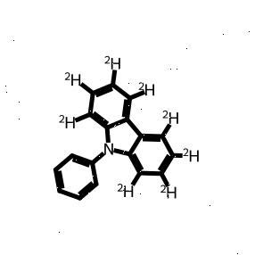 [2H]c1c([2H])c([2H])c2c(c1[2H])c1c([2H])c([2H])c([2H])c([2H])c1n2-c1ccccc1